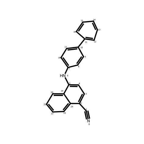 N#Cc1ccc(Nc2ccc(-c3ccccc3)cc2)c2ccccc12